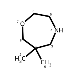 CC1(C)CNCCOC1